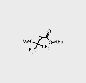 COC(OC(=O)OC(C)(C)C)(C(F)(F)F)C(F)(F)F